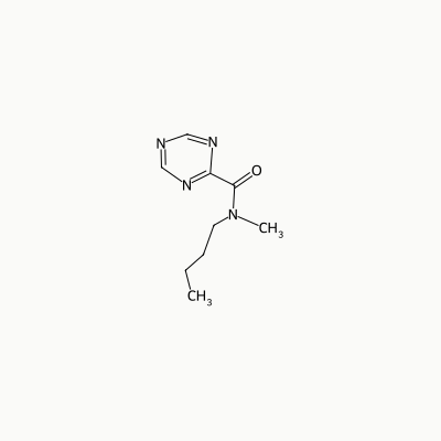 CCCCN(C)C(=O)c1ncncn1